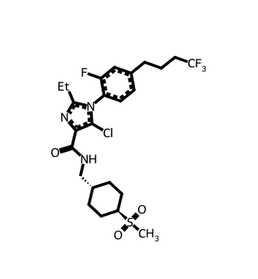 CCc1nc(C(=O)NC[C@H]2CC[C@H](S(C)(=O)=O)CC2)c(Cl)n1-c1ccc(CCCC(F)(F)F)cc1F